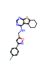 Fc1ccc(-c2cc(CNc3ncnc4sc5c(c34)CCCC5)on2)cc1